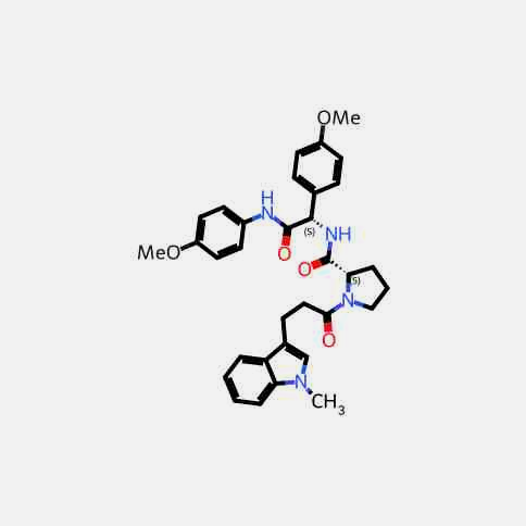 COc1ccc(NC(=O)[C@@H](NC(=O)[C@@H]2CCCN2C(=O)CCc2cn(C)c3ccccc23)c2ccc(OC)cc2)cc1